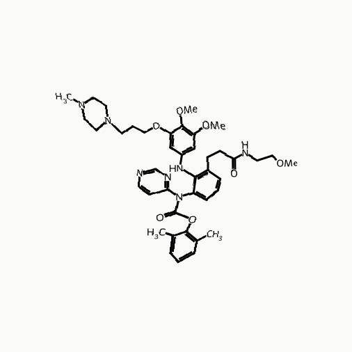 COCCNC(=O)CCc1cccc(N(C(=O)Oc2c(C)cccc2C)c2ccncn2)c1Nc1cc(OC)c(OC)c(OCCCN2CCN(C)CC2)c1